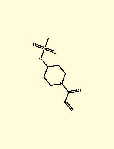 C=CC(=O)N1CCC(OS(C)(=O)=O)CC1